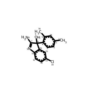 Cc1ccc(C2(O)C(N)=Nc3ccc(Cl)cc32)c(C)c1